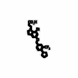 CCc1cc(OCc2ccc(C3CCCC3)c(C(F)(F)F)c2)cc2ccn(CCC(=O)O)c12